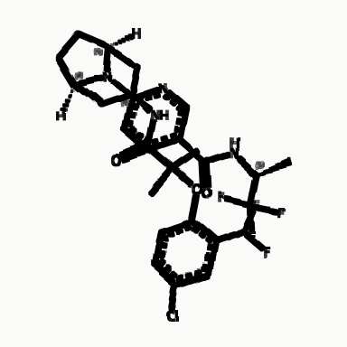 C[C@H](NC(=O)c1ccc(N2[C@@H]3CC[C@H]2C[C@@H](NC(=O)C(C)(C)Oc2ccc(Cl)cc2C(F)F)C3)nc1)C(F)(F)F